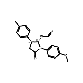 COc1ccc(N2C(=O)C[C@@H](c3ccc(C)cc3)[C@@H]2NC=O)cc1